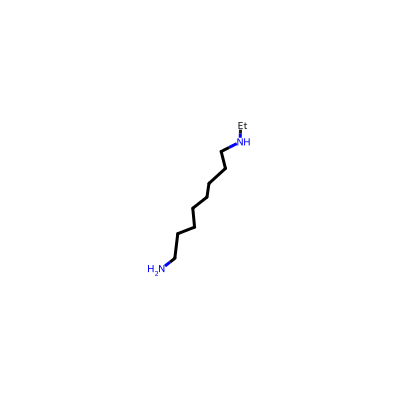 CCNCCCCCCCCN